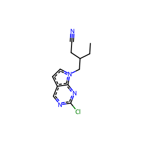 CCC(CC#N)Cn1ccc2cnc(Cl)nc21